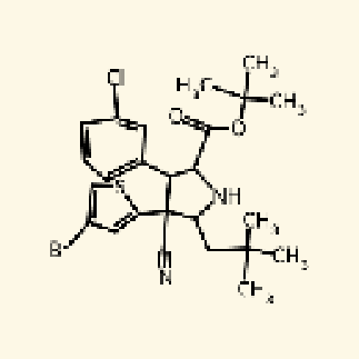 CC(C)(C)CC1NC(C(=O)OC(C)(C)C)C(c2cccc(Cl)c2)C1(C#N)c1cc(Br)cs1